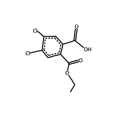 CCOC(=O)c1cc(Cl)c(Cl)cc1C(=O)O